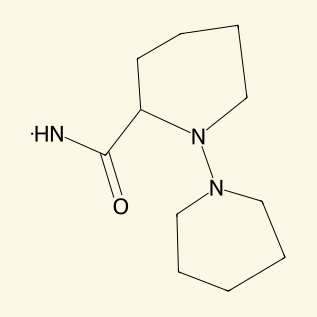 [NH]C(=O)C1CCCCN1N1CCCCC1